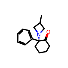 CC1CN([C@]2(c3ccccc3)CCCCC2=O)C1